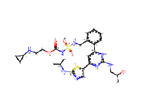 CC(O)CNc1nc(-c2cnc(NC(C)C)s2)cc(-c2ccccc2CNS(=O)(=O)NC(=O)OCCNC2CC2)n1